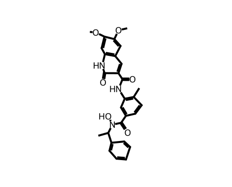 COc1cc2cc(C(=O)Nc3cc(C(=O)N(O)C(C)c4ccccc4)ccc3C)c(=O)[nH]c2cc1OC